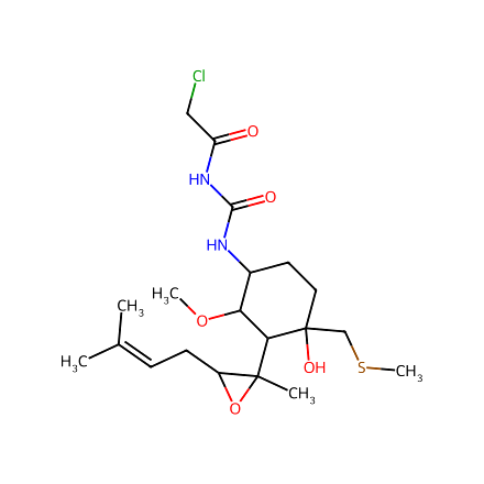 COC1C(NC(=O)NC(=O)CCl)CCC(O)(CSC)C1C1(C)OC1CC=C(C)C